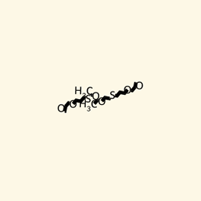 CC(OCCSCCCOCC1CO1)OC(C)SCCCOCC1CO1